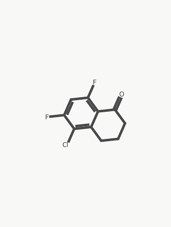 O=C1CCCc2c(Cl)c(F)cc(F)c21